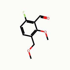 COCc1ccc(F)c(C=O)c1OC